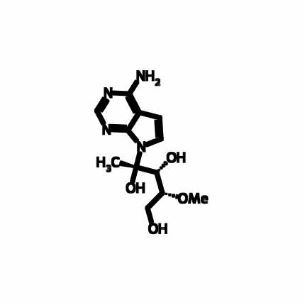 CO[C@H](CO)[C@@H](O)[C@](C)(O)n1ccc2c(N)ncnc21